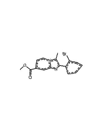 COC(=O)c1ccn2c(C)c(-c3ccccc3Br)nc2c1